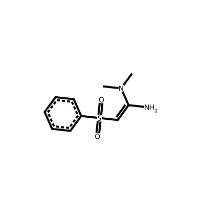 CN(C)C(N)=CS(=O)(=O)c1ccccc1